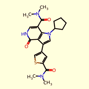 CN(C)C(=O)c1cc(-c2cn(C3CCCC3)c3c(C(=O)N(C)C)c[nH]c(=O)c23)cs1